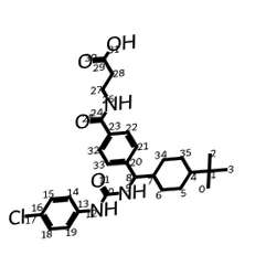 CC(C)(C)C1CCC(C(NC(=O)Nc2ccc(Cl)cc2)c2ccc(C(=O)NCCC(=O)O)cc2)CC1